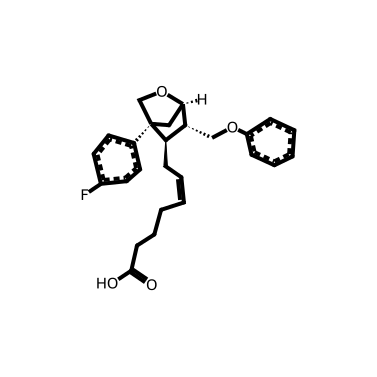 O=C(O)CCC/C=C\C[C@@H]1[C@@H](COc2ccccc2)[C@H]2C[C@]1(c1ccc(F)cc1)CO2